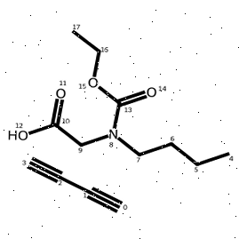 C#CC#C.CCCCN(CC(=O)O)C(=O)OCC